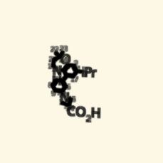 CC(C)c1cc2c(c(-c3cccc(N4CC(C(=O)O)C4)c3)c1)NCCC(C)(C)O2